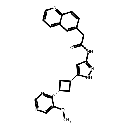 COc1cncnc1[C@H]1C[C@@H](c2cc(NC(=O)Cc3ccc4ncccc4c3)n[nH]2)C1